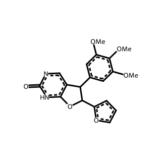 COc1cc(C2c3cnc(=O)[nH]c3OC2c2ccco2)cc(OC)c1OC